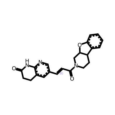 O=C1CCc2cc(/C=C/C(=O)N3CCC4c5ccccc5OC4C3)cnc2N1